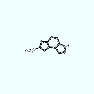 CCOC(=O)c1cc2c(ccc3[nH]ncc32)s1